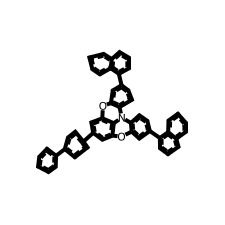 c1ccc(-c2ccc(-c3cc4c5c(c3)Oc3cc(-c6cccc7ccccc67)ccc3N5c3ccc(-c5cccc6ccccc56)cc3O4)cc2)cc1